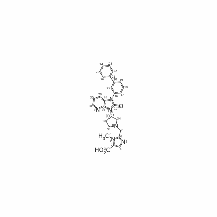 Cn1c(C(=O)O)cnc1CN1CC[C@H](n2c(=O)n(-c3cccc(-c4ccccc4)c3)c3cccnc32)C1